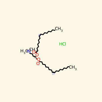 CCCCCCCC/C=C\CCCCCCCC(=O)OC[C@@H](CCCN(C)C)OC(=O)CCCCCCC/C=C\CCCCCCCC.Cl